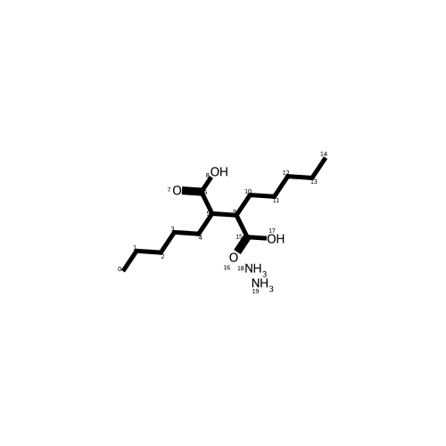 CCCCCC(C(=O)O)C(CCCCC)C(=O)O.N.N